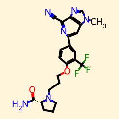 Cn1cnc2c(C#N)nc(-c3ccc(OCCCN4CCC[C@@H]4C(N)=O)c(C(F)(F)F)c3)cc21